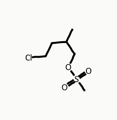 CC(CCCl)COS(C)(=O)=O